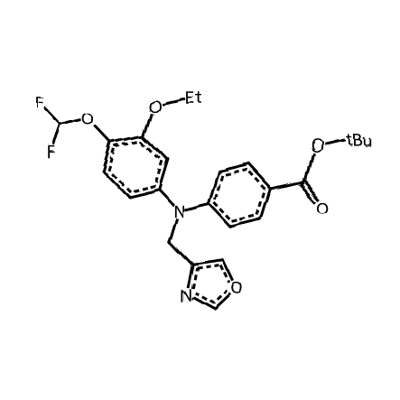 CCOc1cc(N(Cc2cocn2)c2ccc(C(=O)OC(C)(C)C)cc2)ccc1OC(F)F